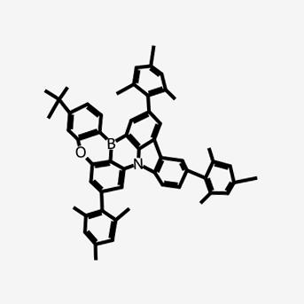 Cc1cc(C)c(-c2cc3c4c(c2)-n2c5ccc(-c6c(C)cc(C)cc6C)cc5c5cc(-c6c(C)cc(C)cc6C)cc(c52)B4c2ccc(C(C)(C)C)cc2O3)c(C)c1